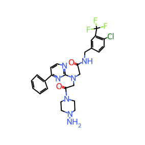 NN1CCN(C(=O)CN(CC(=O)NCc2ccc(Cl)c(C(F)(F)F)c2)c2nccc(-c3ccccc3)n2)CC1